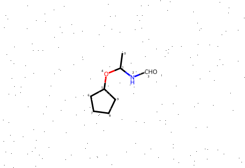 [CH2]C(NC=O)OC1CCCC1